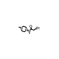 CC(C)CC(=O)N(C)N1CCN(C)CC1